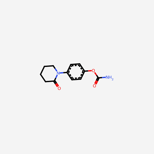 NC(=O)Oc1ccc(N2CCCCC2=O)cc1